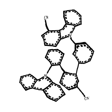 N#Cc1ccc(-c2ccccc2-n2c3ccccc3c3ccccc32)c(-c2cccc(-n3c4ccccc4c4c(C#N)cccc43)c2)c1